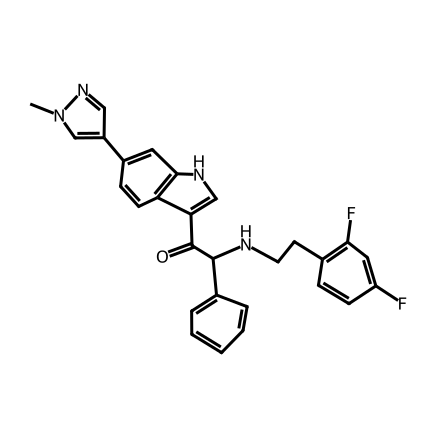 Cn1cc(-c2ccc3c(C(=O)C(NCCc4ccc(F)cc4F)c4ccccc4)c[nH]c3c2)cn1